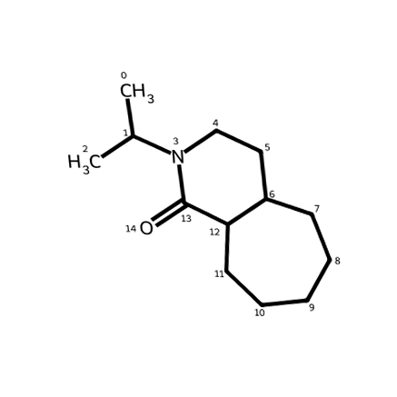 CC(C)N1CCC2CCCCCC2C1=O